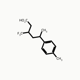 Cc1ccc(C(C)CC(CC(=O)O)C(F)(F)F)cc1